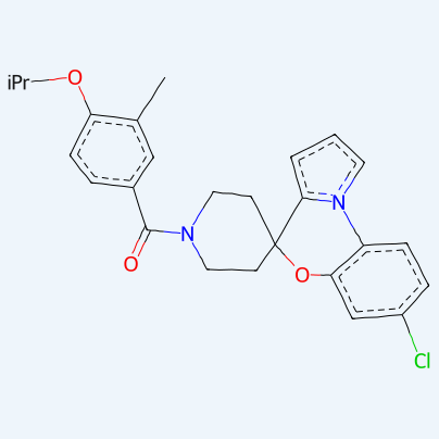 Cc1cc(C(=O)N2CCC3(CC2)Oc2cc(Cl)ccc2-n2cccc23)ccc1OC(C)C